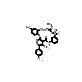 COc1cc(C#N)ccc1Oc1nnc(-c2ccc(C)cc2)c(C)c1C(=O)Nc1cccc(S(C)(=O)=NC(=O)OC(C)(C)C)c1